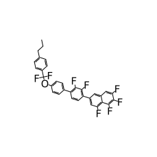 CCCc1ccc(C(F)(F)Oc2ccc(-c3ccc(-c4cc(F)c5c(F)c(F)c(F)cc5c4)c(F)c3F)cc2)cc1